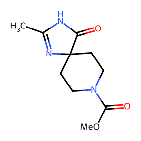 COC(=O)N1CCC2(CC1)N=C(C)NC2=O